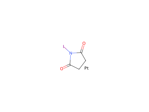 O=C1CCC(=O)N1I.[Pt]